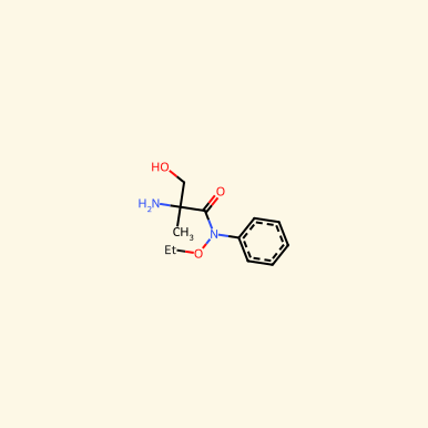 CCON(C(=O)C(C)(N)CO)c1ccccc1